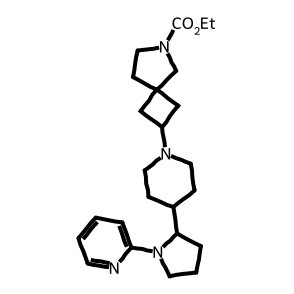 CCOC(=O)N1CCC2(CC(N3CCC(C4CCCN4c4ccccn4)CC3)C2)C1